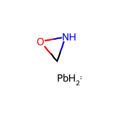 C1NO1.[PbH2]